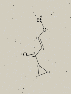 CCO/C=C/C(=O)C1CC1